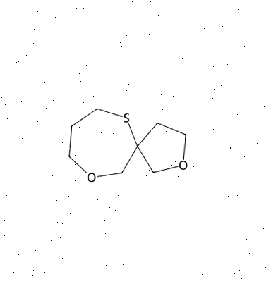 C1COCC2(CCOC2)SC1